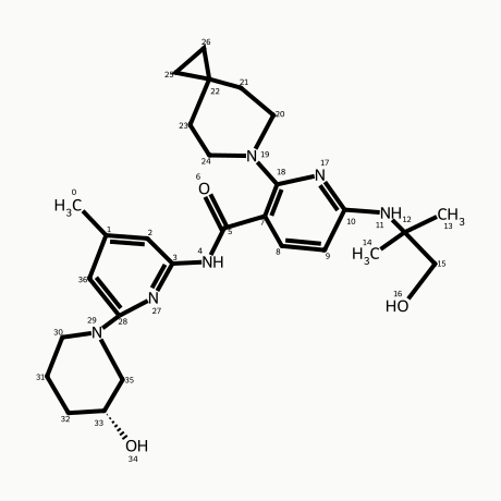 Cc1cc(NC(=O)c2ccc(NC(C)(C)CO)nc2N2CCC3(CC2)CC3)nc(N2CCC[C@@H](O)C2)c1